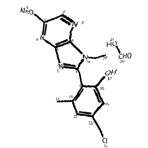 COc1cnc2c(n1)nc(-c1c(C)cc(Cl)cc1O)n2C.O=CO